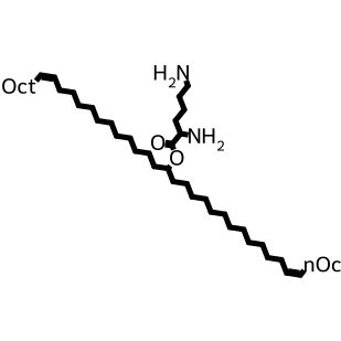 CCCCCCCC/C=C\CCCCCCCCCCCCC(CCCCCCCCCCC/C=C\CCCCCCCC)OC(=O)C(N)CCCCN